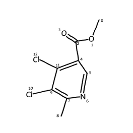 COC(=O)c1cnc(C)c(Cl)c1Cl